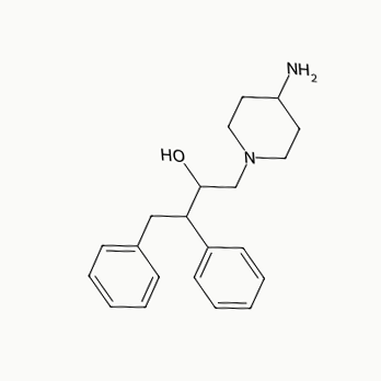 NC1CCN(CC(O)C(Cc2ccccc2)c2ccccc2)CC1